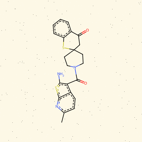 Cc1ccc2c(C(=O)N3CCC4(CC3)CC(=O)c3ccccc3S4)c(N)sc2n1